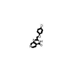 O=c1[nH]c(COc2ccc(Cl)cc2)nc2cnccc12